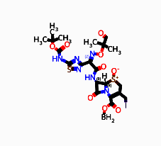 BOC(=O)C1=C(CI)C[S+]([O-])[C@@H]2[C@H](NC(=O)/C(=N\OC(C)(C)C=O)c3nsc(NC(=O)OC(C)(C)C)n3)C(=O)N12